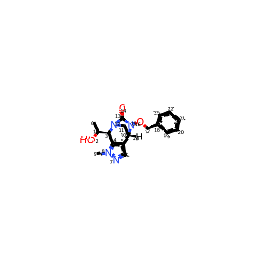 CC(O)[C@@H]1c2c(cnn2C)[C@@H]2CN1C(=O)N2OCc1ccccc1